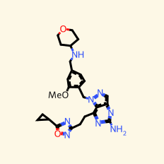 COc1cc(CNC2CCOCC2)ccc1Cn1ncc2nc(N)nc(CCc3noc(C4CC4)n3)c21